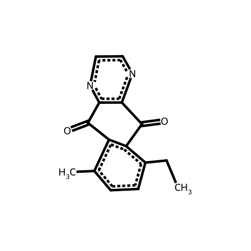 CCc1ccc(C)c2c1C(=O)c1nccnc1C2=O